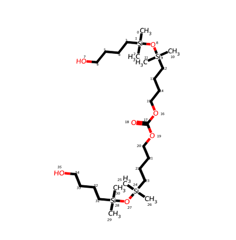 C[Si](C)(CCCCO)O[Si](C)(C)CCCCOC(=O)OCCCC[Si](C)(C)O[Si](C)(C)CCCCO